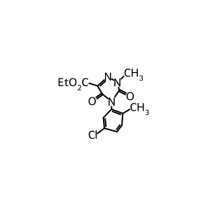 CCOC(=O)c1nn(C)c(=O)n(-c2cc(Cl)ccc2C)c1=O